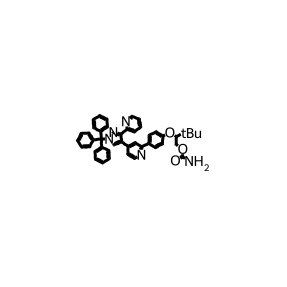 CC(C)(C)C(COC(N)=O)Oc1ccc(-c2cc(-c3cn(C(c4ccccc4)(c4ccccc4)c4ccccc4)nc3-c3ccccn3)ccn2)cc1